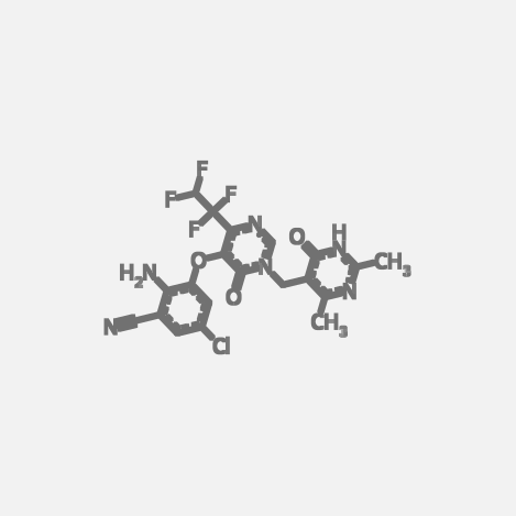 Cc1nc(C)c(Cn2cnc(C(F)(F)C(F)F)c(Oc3cc(Cl)cc(C#N)c3N)c2=O)c(=O)[nH]1